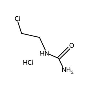 Cl.NC(=O)NCCCl